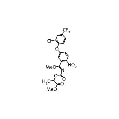 COC(=O)C(C)OC(=O)N=C(OC)c1cc(Oc2ccc(C(F)(F)F)cc2Cl)ccc1[N+](=O)[O-]